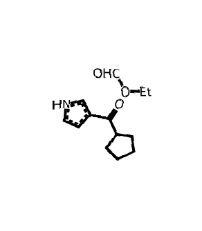 CCOC=O.O=C(c1cc[nH]c1)C1CCCC1